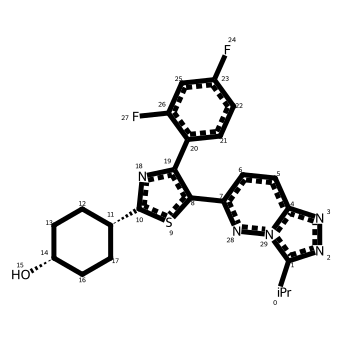 CC(C)c1nnc2ccc(-c3sc([C@H]4CC[C@@H](O)CC4)nc3-c3ccc(F)cc3F)nn12